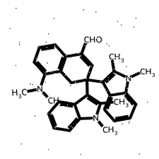 Cc1c(C2(c3c(C)n(C)c4ccccc34)C=C(C=O)c3cccc(N(C)C)c3C2)c2ccccc2n1C